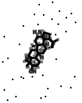 C=C(C)C1CC[C@]2(N)CC[C@]3(C)[C@H](CC[C@@H]4[C@@]5(C)CC=C(O)C(C)(C)[C@@H]5CC[C@]43C)[C@@H]12